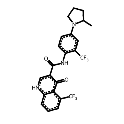 CC1CCCN1c1ccc(NC(=O)c2c[nH]c3cccc(C(F)(F)F)c3c2=O)c(C(F)(F)F)c1